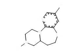 CN1CCN2c3ncc(I)cc3OCCC2C1